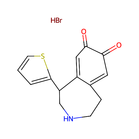 Br.O=C1C=C2CCNCC(c3cccs3)C2=CC1=O